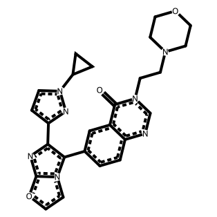 O=c1c2cc(-c3c(-c4ccn(C5CC5)n4)nc4occn34)ccc2ncn1CCN1CCOCC1